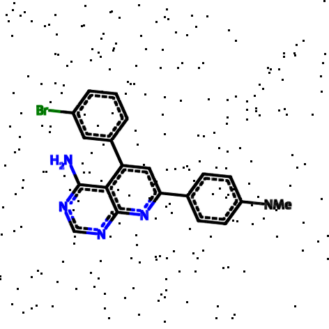 CNc1ccc(-c2cc(-c3cccc(Br)c3)c3c(N)ncnc3n2)cc1